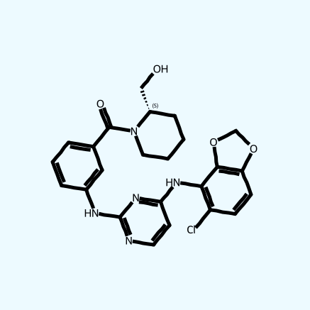 O=C(c1cccc(Nc2nccc(Nc3c(Cl)ccc4c3OCO4)n2)c1)N1CCCC[C@H]1CO